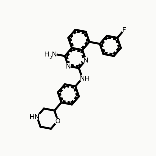 Nc1nc(Nc2ccc(C3CNCCO3)cc2)nc2c(-c3cccc(F)c3)cccc12